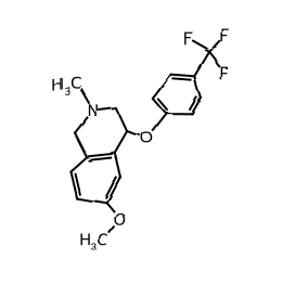 COc1ccc2c(c1)C(Oc1ccc(C(F)(F)F)cc1)CN(C)C2